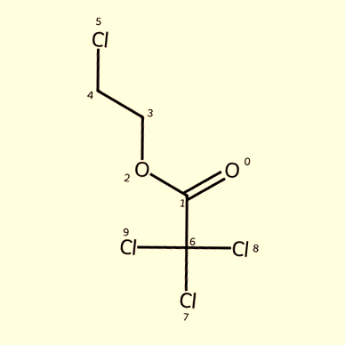 O=C(OCCCl)C(Cl)(Cl)Cl